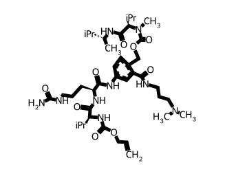 C=CCOC(=O)N[C@H](C(=O)N[C@@H](CCCNC(N)=O)C(=O)Nc1ccc(COC(=O)N(C)[C@H](C(=O)N[C@H](C)C(C)C)C(C)C)c(C(=O)NCCCN(C)C)c1)C(C)C